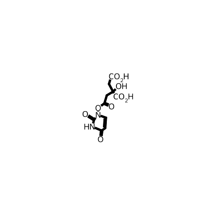 O=C(O)CC(O)(CC(=O)On1ccc(=O)[nH]c1=O)C(=O)O